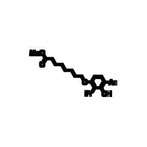 COC(=O)CCCCCCCOc1ccc(C(C)=O)c(O)c1C(C)C